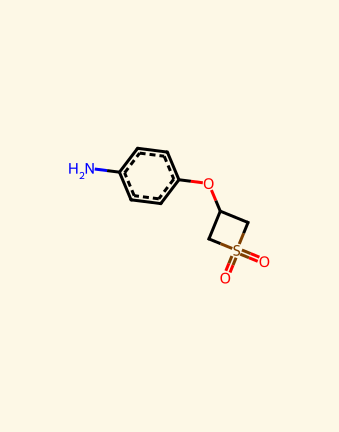 Nc1ccc(OC2CS(=O)(=O)C2)cc1